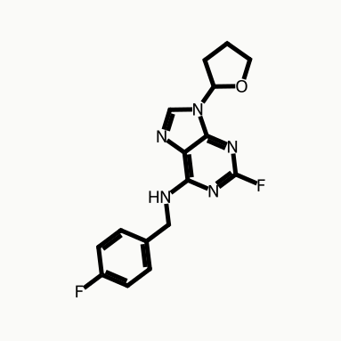 Fc1ccc(CNc2nc(F)nc3c2ncn3C2CCCO2)cc1